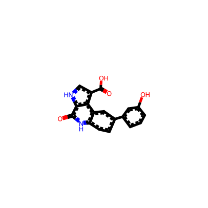 O=C(O)c1c[nH]c2c(=O)[nH]c3ccc(-c4cccc(O)c4)cc3c12